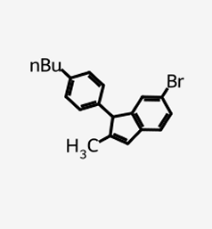 CCCCc1ccc(C2C(C)=Cc3ccc(Br)cc32)cc1